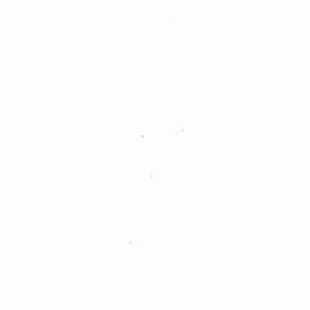 Cc1ccc(CCNC(=O)COc2ccc(C[C@H](C)C(=O)O)cc2)cc1